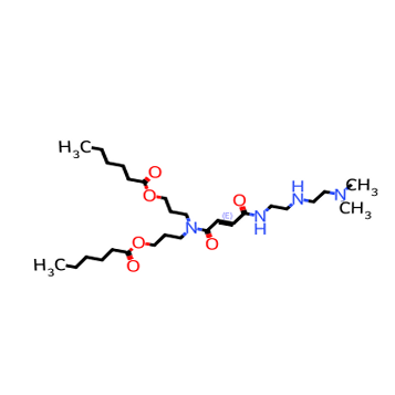 CCCCCC(=O)OCCCN(CCCOC(=O)CCCCC)C(=O)/C=C/C(=O)NCCNCCN(C)C